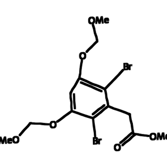 COCOc1cc(OCOC)c(Br)c(CC(=O)OC)c1Br